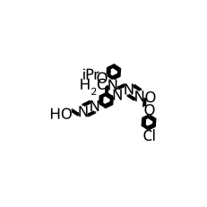 C=C1c2cc(N3CCN(CCO)CC3)ccc2N=C(CN2CCN(C(=O)COc3ccc(Cl)cc3)CC2)N1c1ccccc1OC(C)C